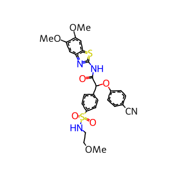 COCCNS(=O)(=O)c1ccc(C(Oc2ccc(C#N)cc2)C(=O)Nc2nc3cc(OC)c(OC)cc3s2)cc1